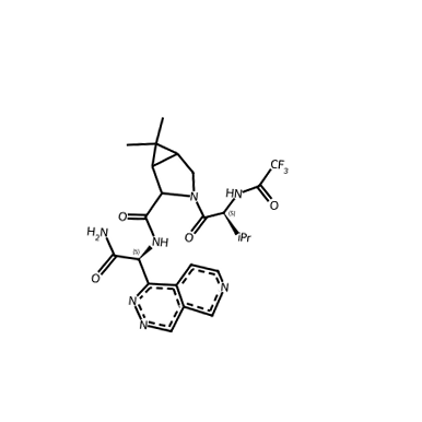 CC(C)[C@H](NC(=O)C(F)(F)F)C(=O)N1CC2C(C1C(=O)N[C@H](C(N)=O)c1nncc3cnccc13)C2(C)C